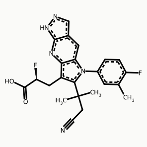 Cc1cc(-n2c(C(C)(C)CC#N)c(C[C@H](F)C(=O)O)c3nc4[nH]ncc4cc32)ccc1F